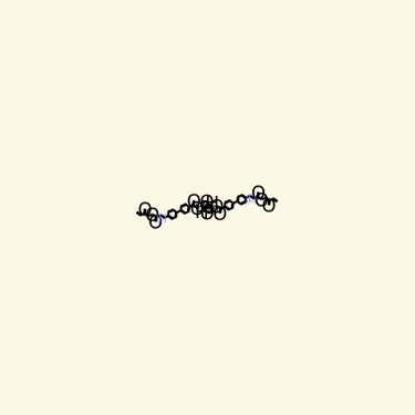 C=CC(=O)COC(=O)/C=C/c1ccc(-c2ccc(C(=O)O[C@H]3CO[C@H]4[C@@H]3OC[C@H]4OC(=O)c3ccc(-c4ccc(/C=C/C(=O)OCC(=O)C=C)cc4)cc3)cc2)cc1